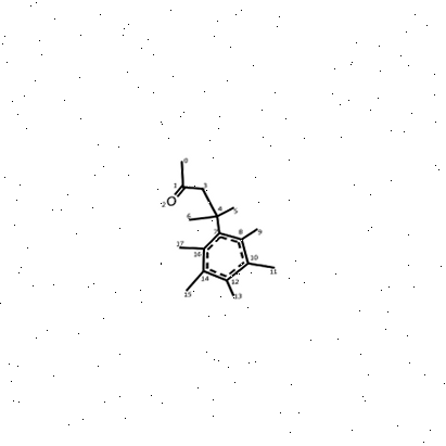 CC(=O)CC(C)(C)c1c(C)c(C)c(C)c(C)c1C